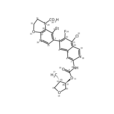 CCc1c(-c2cc3cc(NC(=O)O[C@H]4COC[C@@H]4C)ncc3c(Cl)c2F)cnc2c1N(C(=O)O)CCO2